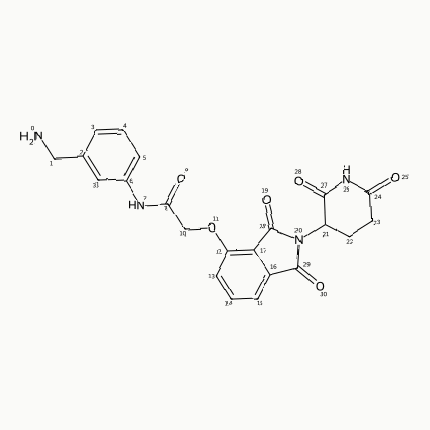 NCc1cccc(NC(=O)COc2cccc3c2C(=O)N(C2CCC(=O)NC2=O)C3=O)c1